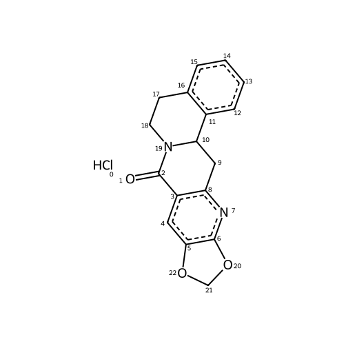 Cl.O=C1c2cc3c(nc2CC2c4ccccc4CCN12)OCO3